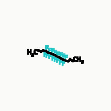 C=CCCC(F)(F)C(F)(F)C(F)(F)C(F)(F)C(F)(F)C(F)(F)C(F)(F)C(F)(F)CCC=C